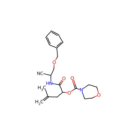 C=C(C)CC(OC(=O)N1CCOCC1)C(=O)NC(C#N)COCc1ccccc1